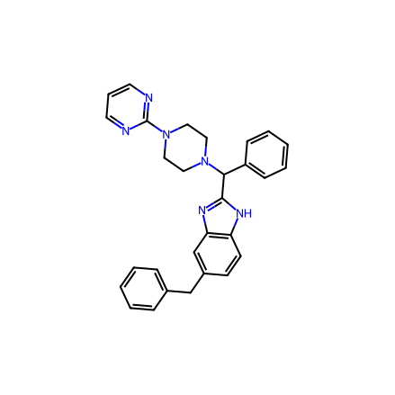 c1ccc(Cc2ccc3[nH]c(C(c4ccccc4)N4CCN(c5ncccn5)CC4)nc3c2)cc1